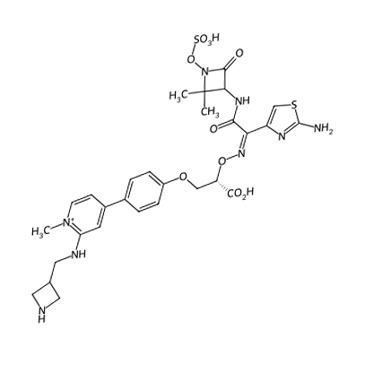 C[n+]1ccc(-c2ccc(OC[C@H](O/N=C(\C(=O)NC3C(=O)N(OS(=O)(=O)O)C3(C)C)c3csc(N)n3)C(=O)O)cc2)cc1NCC1CNC1